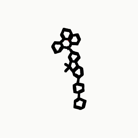 CC1(C)c2cc(-c3ccc(-c4ccccc4)cc3)ccc2-c2ccc(N(c3ccccc3)c3ccccc3-c3ccccc3)cc21